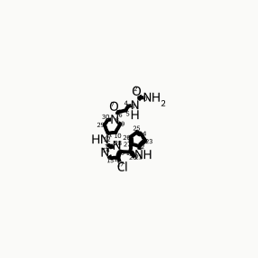 NC(=O)NCCC(=O)N1CCC(Nc2ncc(Cl)c(-c3c[nH]c4ccccc34)n2)CC1